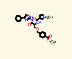 CC(C)(C)OC(=O)c1ccc(COC[C@H](NC(=O)c2ccn(C(C)(C)C)c2)C(=O)Nc2nc(-c3ccccc3)cs2)cc1